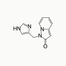 O=c1cc2ccccn2n1Cc1c[nH]cn1